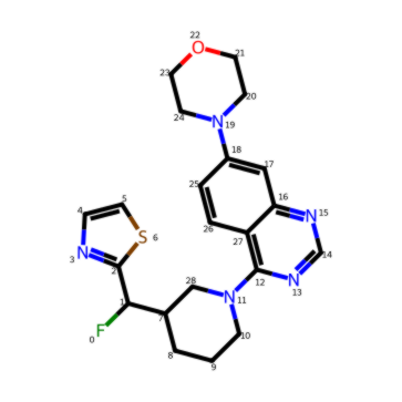 FC(c1nccs1)C1CCCN(c2ncnc3cc(N4CCOCC4)ccc23)C1